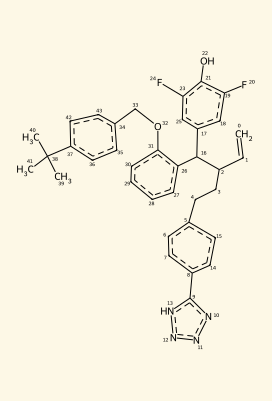 C=CC(CCc1ccc(-c2nnn[nH]2)cc1)C(c1cc(F)c(O)c(F)c1)c1ccccc1OCc1ccc(C(C)(C)C)cc1